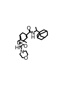 CC1=CCC(C(=O)NC(C)C23CC4CC(CC(C4)C2)C3)=CC1(C)S(=O)(=O)NN1CCOCC1